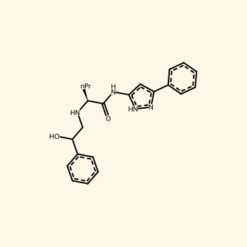 CCC[C@H](NCC(O)c1ccccc1)C(=O)Nc1cc(-c2ccccc2)n[nH]1